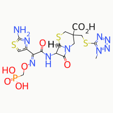 Cn1nnnc1SCC1(C(=O)O)CS[C@@H]2C(NC(=O)C(=NOCP(=O)(O)O)c3csc(N)n3)C(=O)N2C1